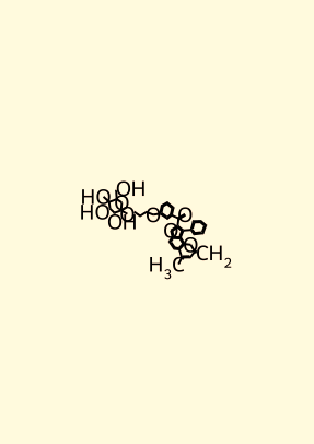 C=C1C=C(C)c2ccc3oc(C(=O)c4cccc(OCCCOC5OC(CO)C(O)C(O)C5O)c4)c(-c4ccccc4)c3c2O1